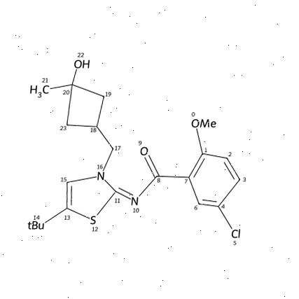 COc1ccc(Cl)cc1C(=O)N=c1sc(C(C)(C)C)cn1CC1CC(C)(O)C1